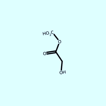 O=C(O)OC(=O)CO